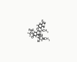 C[C@@H](NC(=O)c1cn(C2(C(F)F)CC2)c(=O)cc1N[C@]12C[C@H]1CN(C)C2)c1cccc(C(F)F)c1F